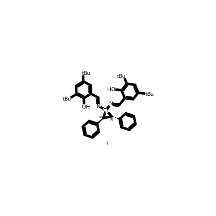 CC(C)(C)c1cc(C=[N][Cr]2([N]=Cc3cc(C(C)(C)C)cc(C(C)(C)C)c3O)[C@H](c3ccccc3)[C@H]2c2ccccc2)c(O)c(C(C)(C)C)c1.[I]